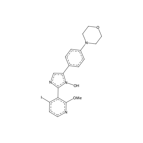 COc1nccc(I)c1-c1ncc(-c2ccc(N3CCOCC3)cc2)n1O